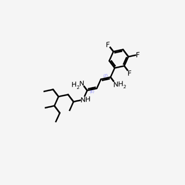 CCC(C)C(CC)CC(C)N/C(N)=C/C=C(\N)c1cc(F)cc(F)c1F